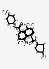 CCC1CCC(NC(=O)c2ccc(C(=O)O)c3c(C(=O)N[C@H]4CC[C@H](C(F)(F)F)CC4)ccc(C(=O)O)c23)CC1